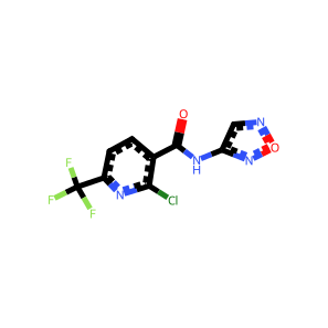 O=C(Nc1cnon1)c1ccc(C(F)(F)F)nc1Cl